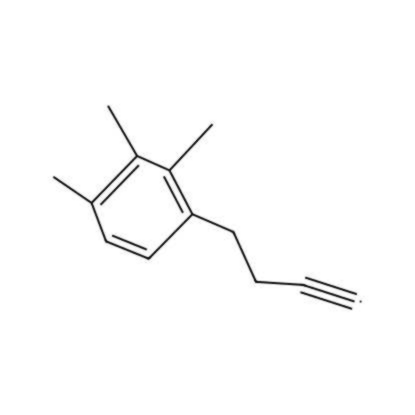 [C]#CCCc1ccc(C)c(C)c1C